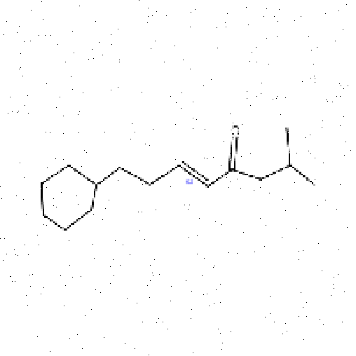 CC(C)CC(=O)/C=C/CCC1CCCCC1